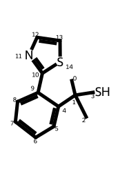 CC(C)(S)c1ccccc1-c1nccs1